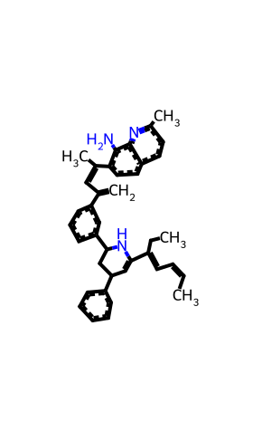 C=C(/C=C(/C)c1ccc2ccc(C)nc2c1N)c1cccc(C2CC(c3ccccc3)C=C(/C(=C/C=C\C)CC)N2)c1